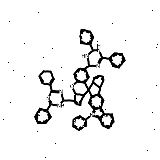 C1=CC2c3cc4c5ccccc5n(-c5ccccc5)c4cc3C3(c4cc(C5N=C(c6ccccc6)NC(c6ccccc6)N5)ccc4OC4C(C5N=C(C6=CCCC=C6)N=C(c6ccccc6)N5)=CC=CC43)C2C=C1